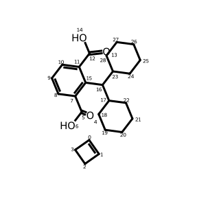 C1=CCC1.O=C(O)c1cccc(C(=O)O)c1C(C1CCCCC1)C1CCCCC1